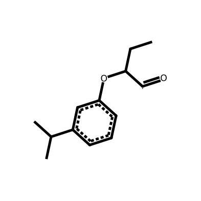 CCC([C]=O)Oc1cccc(C(C)C)c1